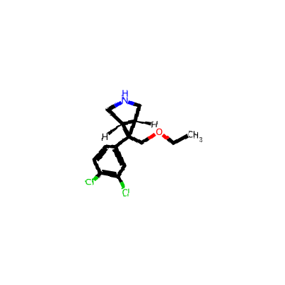 CCOCC1(c2ccc(Cl)c(Cl)c2)[C@@H]2CNC[C@@H]21